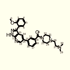 COc1ccccc1-c1n[nH]c2ncc(-c3cccc(C(=O)N4CCN(CCN(C)C)CC4)c3)cc12